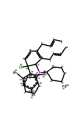 CC=CCC1=C(CC=CC)C(P(C2CCCCC2)C2CCCCC2)C(Cl)(c2c(C(C)C)cc(C(C)C)cc2C(C)C)C=C1.[Pd+2]